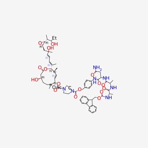 CCC(O)C(C)[C@H]1O[C@@H]1CC(C)(O)/C=C/C=C(\C)[C@H]1OC(=O)C[C@H](O)CC[C@@](C)(OC(C)=O)[C@@H](OC(=O)N2CCN(C(=O)OCc3ccc(NC(=O)C(CC(N)=O)NC(=O)C(C)NC(=O)C(C)NC(=O)OCC4c5ccccc5-c5ccccc54)cc3)CC2)/C=C/[C@@H]1C